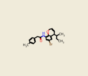 CCC(C)C1C=CCOc2c(NC(=O)Cc3ccc(C)cc3)cc(Br)cc21